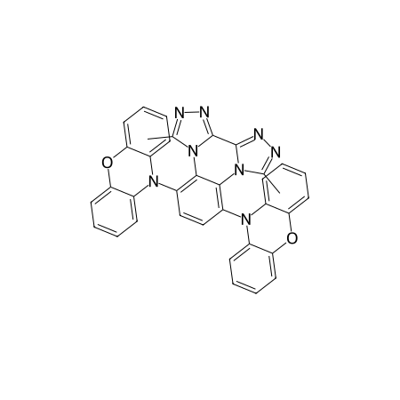 Cc1nnc2c3nnc(C)n3c3c(N4c5ccccc5Oc5ccccc54)ccc(N4c5ccccc5Oc5ccccc54)c3n12